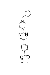 COC(=O)c1ccc(-c2cnc(N3CCN(CC4CCCC4)CC3)nc2)cc1